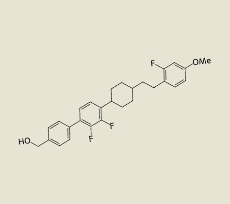 COc1ccc(CCC2CCC(c3ccc(-c4ccc(CO)cc4)c(F)c3F)CC2)c(F)c1